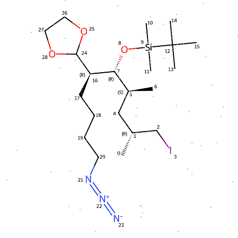 C[C@@H](CI)C[C@H](C)[C@@H](O[Si](C)(C)C(C)(C)C)[C@@H](CCCCN=[N+]=[N-])C1OCCO1